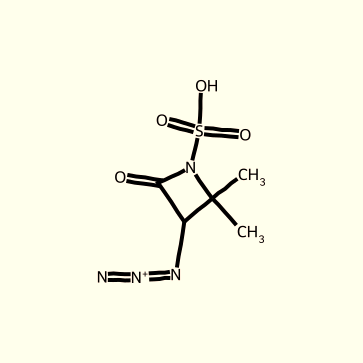 CC1(C)C(N=[N+]=[N-])C(=O)N1S(=O)(=O)O